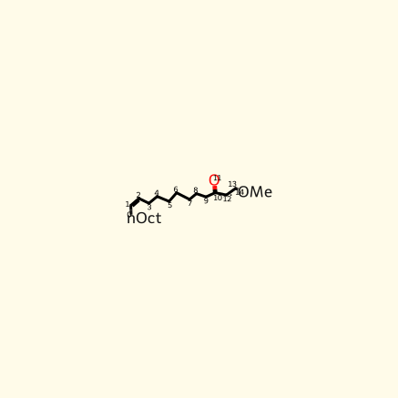 CCCCCCCC/C=C\CCCCCCCC(=O)[CH]COC